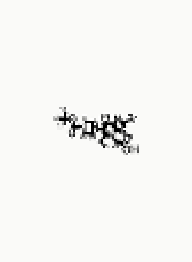 CCc1c(N2CCN(C(=O)OC(C)(C)C)CC2)c(=O)c2nc(Br)sc2n1CC(=O)O